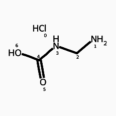 Cl.NCNC(=O)O